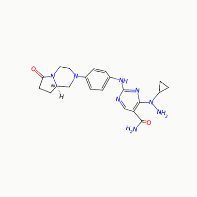 NC(=O)c1cnc(Nc2ccc(N3CCN4C(=O)CC[C@@H]4C3)cc2)nc1N(N)C1CC1